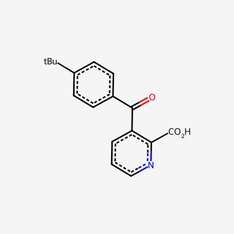 CC(C)(C)c1ccc(C(=O)c2cccnc2C(=O)O)cc1